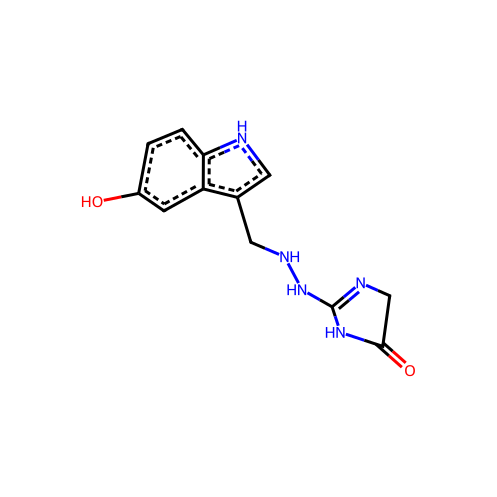 O=C1CN=C(NNCc2c[nH]c3ccc(O)cc23)N1